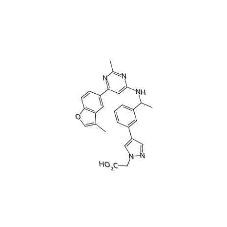 Cc1nc(NC(C)c2cccc(-c3cnn(CC(=O)O)c3)c2)cc(-c2ccc3occ(C)c3c2)n1